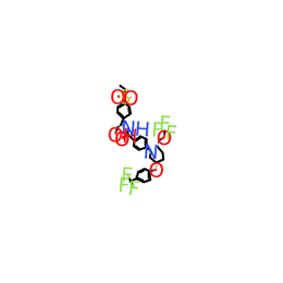 CCS(=O)(=O)c1ccc([C@H](CO)NC(=O)c2ccc(N3C[C@@H](Oc4ccc(C(F)(F)F)cc4)CC[C@H]3COC(F)(F)F)cc2)cc1